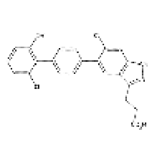 O=C(O)CCc1n[nH]c2cc(Cl)c(-c3ccc(-c4c(O)cccc4Cl)cc3)cc12